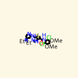 CCN(CC)c1ccnc(Nc2ncnc3c(C(=O)Nc4c(Cl)c(OC)cc(OC)c4Cl)csc23)c1